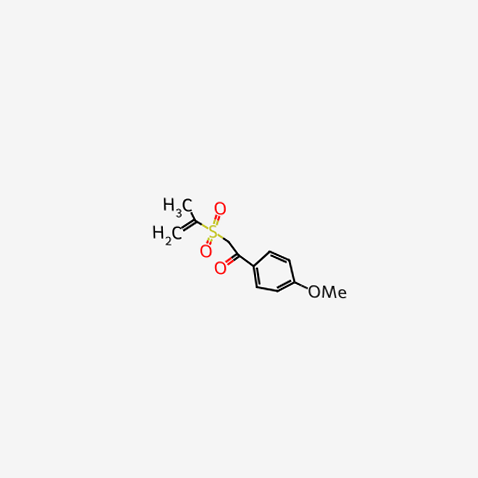 C=C(C)S(=O)(=O)CC(=O)c1ccc(OC)cc1